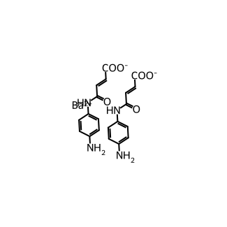 Nc1ccc(NC(=O)C=CC(=O)[O-])cc1.Nc1ccc(NC(=O)C=CC(=O)[O-])cc1.[Ba+2]